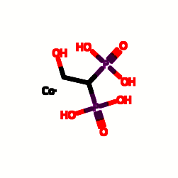 O=P(O)(O)C(CO)P(=O)(O)O.[Co]